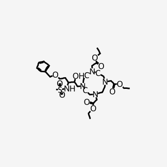 CCOC(=O)CN1CCN(CC(=O)OCC)CCN(CC(O)C(CCOCc2ccccc2)NS(C)(=O)=O)CCN(CC(=O)OCC)CC1